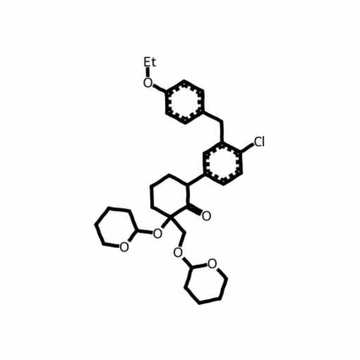 CCOc1ccc(Cc2cc(C3CCCC(COC4CCCCO4)(OC4CCCCO4)C3=O)ccc2Cl)cc1